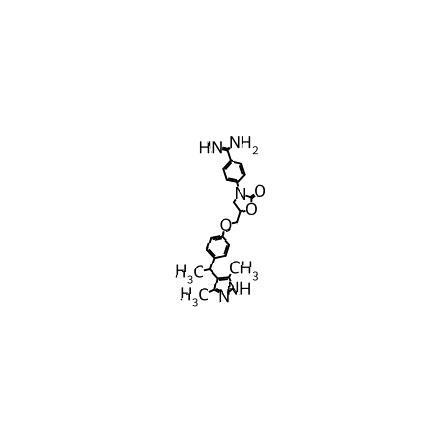 Cc1n[nH]c(C)c1C(C)c1ccc(OCC2CN(c3ccc(C(=N)N)cc3)C(=O)O2)cc1